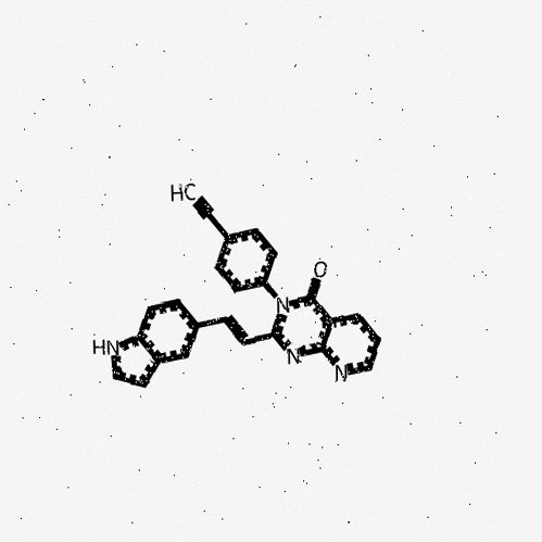 C#Cc1ccc(-n2c(/C=C/c3ccc4[nH]ccc4c3)nc3ncccc3c2=O)cc1